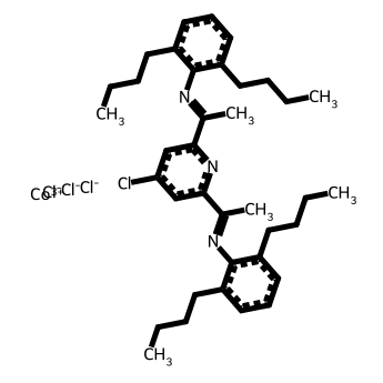 CCCCc1cccc(CCCC)c1N=C(C)c1cc(Cl)cc(C(C)=Nc2c(CCCC)cccc2CCCC)n1.[Cl-].[Cl-].[Cl-].[Co+3]